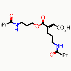 CC(C)C(=O)NCCCOC(=O)C(=CC(=O)O)CCCNC(=O)C(C)C